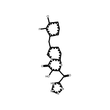 O=C(c1nnn[nH]1)c1nc2ccc(Cc3cccc(Cl)c3F)cn2c(=O)c1O